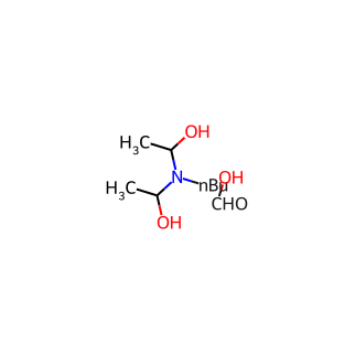 CCCCN(C(C)O)C(C)O.O=CO